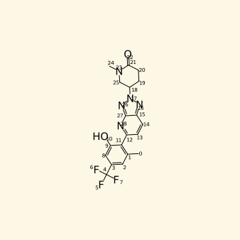 Cc1cc(C(F)(F)F)cc(O)c1-c1ccc2nn(C3CCC(=O)N(C)C3)nc2n1